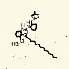 Br.CCCCCCCCCCCCCCOc1c(Cl)cccc1NC(=O)Nc1ccccc1CN1C=C(C)SC1